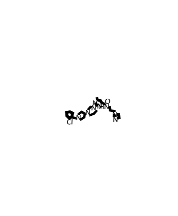 Cc1cc(C(=O)NCCCn2ccnc2)nc(N2CCCN(C3CCN(Cc4ccccc4Cl)CC3)CC2)n1